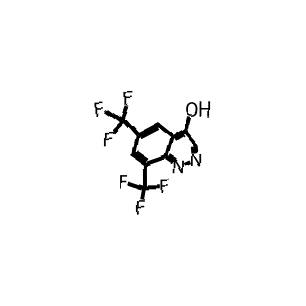 Oc1cnnc2c(C(F)(F)F)cc(C(F)(F)F)cc12